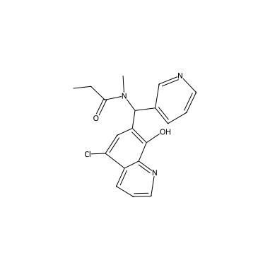 CCC(=O)N(C)C(c1cccnc1)c1cc(Cl)c2cccnc2c1O